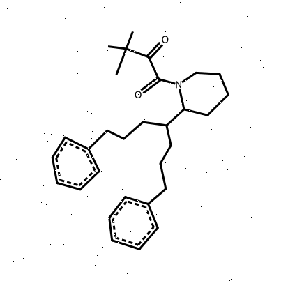 CC(C)(C)C(=O)C(=O)N1CCCCC1C(CCCc1ccccc1)CCCc1ccccc1